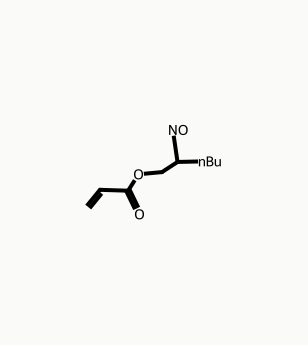 C=CC(=O)OCC(CCCC)N=O